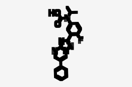 CC(C)N(C(=O)O)c1ccc(F)c(-c2nc3ncc(-c4ccccc4)cn3n2)c1